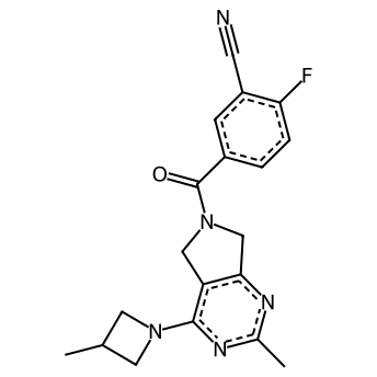 Cc1nc2c(c(N3CC(C)C3)n1)CN(C(=O)c1ccc(F)c(C#N)c1)C2